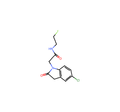 O=C(CN1C(=O)Cc2cc(Cl)ccc21)NCCF